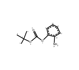 CC(C)(C)OC(=O)Oc1ccccc1N